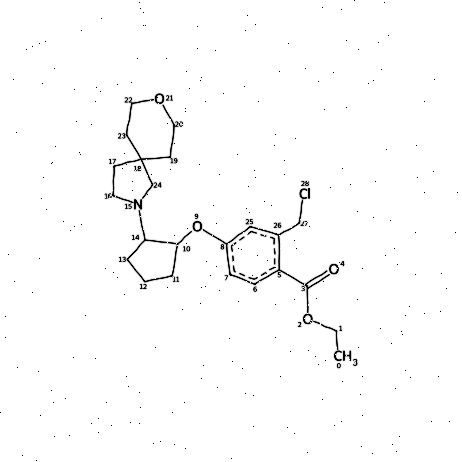 CCOC(=O)c1ccc(OC2CCCC2N2CCC3(CCOCC3)C2)cc1CCl